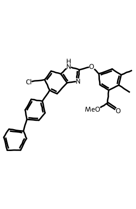 COC(=O)c1cc(Oc2nc3cc(-c4ccc(-c5ccccc5)cc4)c(Cl)cc3[nH]2)cc(C)c1C